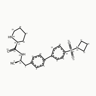 N#C[C@H](Cc1ccc(-c2ccc(S(=O)(=O)N3CCC3)cc2)cc1)NC(=O)[C@@H]1CCCCN1